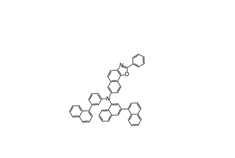 c1ccc(-c2nc3ccc4cc(N(c5cccc(-c6cccc7ccccc67)c5)c5cc(-c6cccc7ccccc67)cc6ccccc56)ccc4c3o2)cc1